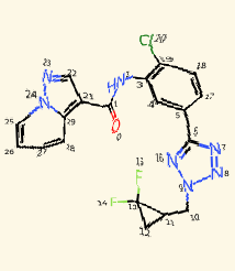 O=C(Nc1cc(-c2nnn(CC3CC3(F)F)n2)ccc1Cl)c1cnn2ccccc12